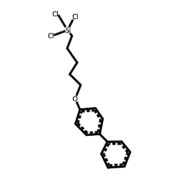 Cl[Si](Cl)(Cl)CCCCCOc1ccc(-c2ccccc2)cc1